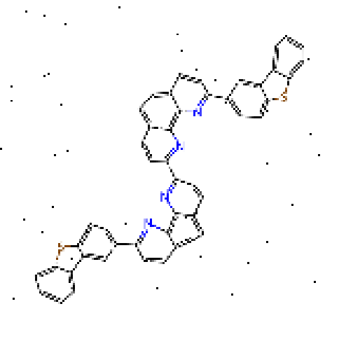 c1ccc2c(c1)sc1ccc(-c3ccc4ccc5ccc(-c6ccc7ccc8ccc(-c9ccc%10sc%11ccccc%11c%10c9)nc8c7n6)nc5c4n3)cc12